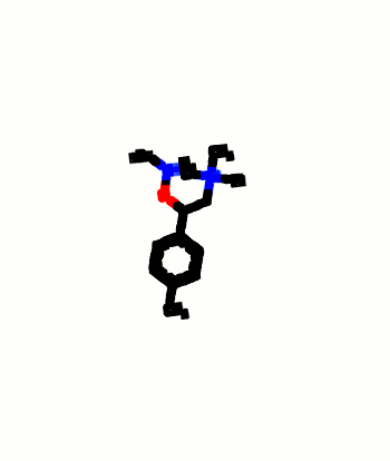 CCCCNOC(C[N+](C)(C)CC)c1ccc(C)cc1